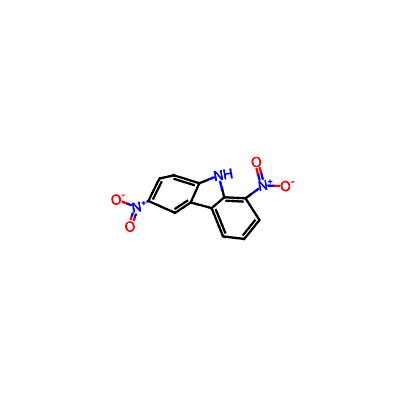 O=[N+]([O-])c1ccc2[nH]c3c([N+](=O)[O-])cccc3c2c1